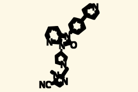 Cn1c(C#N)cnc1CN1CC[C@H](n2c(=O)n(-c3ccc(-c4ccncc4)cc3)c3cccnc32)C1